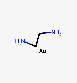 NCCN.[Au]